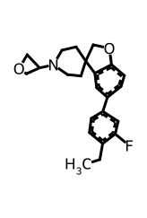 CCc1ccc(-c2ccc3c(c2)C2(CCN(C4COC4)CC2)CO3)cc1F